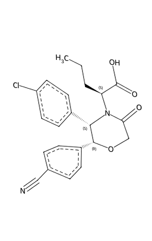 CCC[C@@H](C(=O)O)N1C(=O)CO[C@H](c2ccc(C#N)cc2)[C@@H]1c1ccc(Cl)cc1